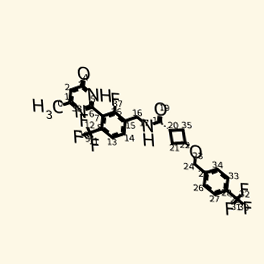 Cc1cc(=O)[nH]c(-c2c(C(F)(F)F)ccc(CNC(=O)[C@H]3C[C@H](OCc4ccc(C(F)(F)F)cc4)C3)c2F)n1